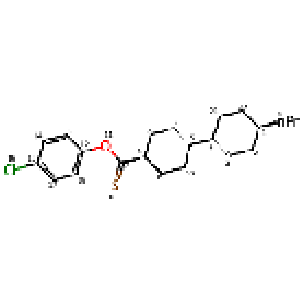 CCC[C@H]1CC[C@H]([C@H]2CC[C@H](C(=S)Oc3ccc(Cl)cc3)CC2)CC1